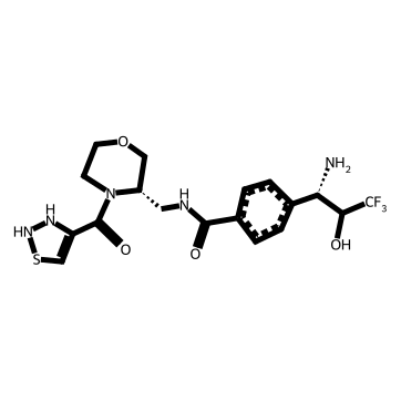 N[C@@H](c1ccc(C(=O)NC[C@H]2COCCN2C(=O)C2=CSNN2)cc1)C(O)C(F)(F)F